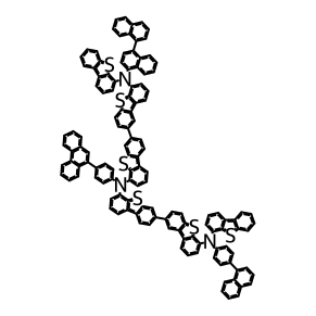 c1ccc2c(-c3ccc(N(c4cccc5c4sc4ccccc45)c4cccc5c4sc4ccc(-c6ccc7c(c6)sc6c(N(c8ccc(-c9cc%10ccccc%10c%10ccccc9%10)cc8)c8cccc9c8sc8cc(-c%10ccc%11sc%12c(N(c%13ccc(-c%14cccc%15ccccc%14%15)c%14ccccc%13%14)c%13cccc%14c%13sc%13ccccc%13%14)cccc%12c%11c%10)ccc89)cccc67)cc45)cc3)cccc2c1